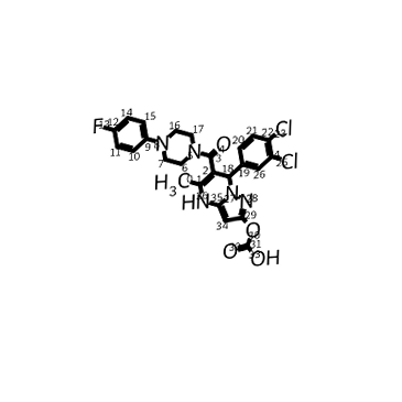 CC1=C(C(=O)N2CCN(c3ccc(F)cc3)CC2)C(c2ccc(Cl)c(Cl)c2)n2nc(OC(=O)O)cc2N1